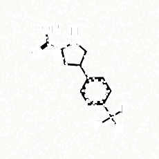 O=C(O)[C@@H]1CC(c2ccc(C(F)(F)F)cc2)CN1